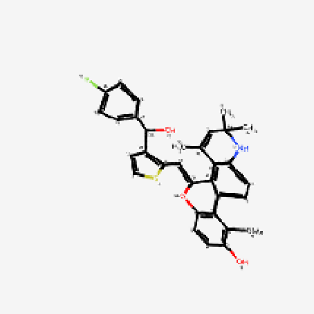 COc1c(O)ccc2c1-c1ccc3c(c1/C(=C/c1sccc1C(O)c1ccc(F)cc1)O2)C(C)=CC(C)(C)N3